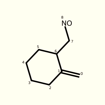 C=C1CCCCC1CN=O